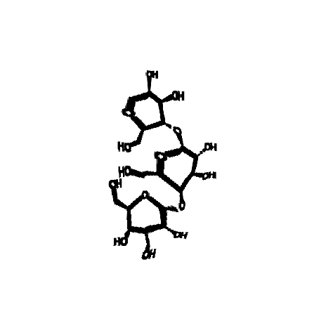 OC[C@H]1O[C@H](O[C@@H]2[C@H](O)[C@@H](O)[C@H](O[C@H]3[C@H](O)[C@H](O)CO[C@@H]3CO)O[C@@H]2CO)[C@H](O)[C@@H](O)[C@H]1O